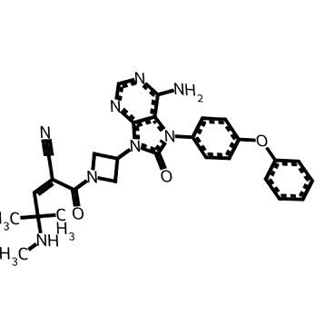 CNC(C)(C)/C=C(/C#N)C(=O)N1CC(n2c(=O)n(-c3ccc(Oc4ccccc4)cc3)c3c(N)ncnc32)C1